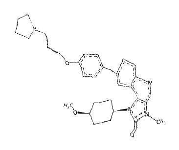 CO[C@H]1CC[C@@H](n2c(=O)n(C)c3cnc4ccc(-c5ccc(OCCCN6CCCC6)cc5)cc4c32)CC1